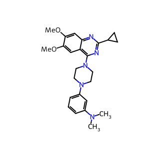 COc1cc2nc(C3CC3)nc(N3CCN(c4cccc(N(C)C)c4)CC3)c2cc1OC